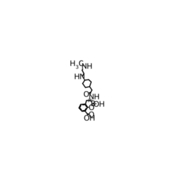 CNCCNC1CCC(CC(=O)N[C@H]2Cc3cccc(C(=O)O)c3OB2O)CC1